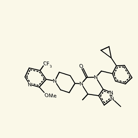 COc1nccc(C(F)(F)F)c1N1CCC(N2C(=O)N(Cc3ccccc3C3CC3)c3nn(C)cc3C2C)CC1